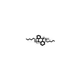 CCCCCN(N)c1cccc2c1C(=O)c1cccc(N(N)CCCCC)c1C2=O